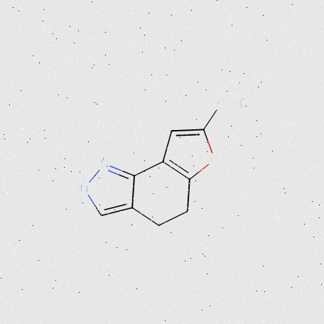 CCOC(=O)c1cc2c(o1)CCc1c[nH]nc1-2